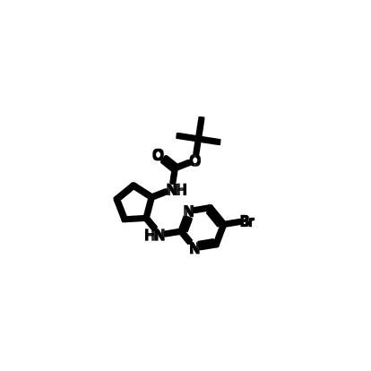 CC(C)(C)OC(=O)NC1CCCC1Nc1ncc(Br)cn1